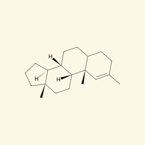 CC1=C[C@@]2(C)C(CC1)CC[C@@H]1[C@H]2CC[C@]2(C)CCC[C@@H]12